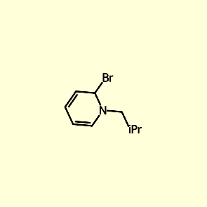 CC(C)CN1C=CC=CC1Br